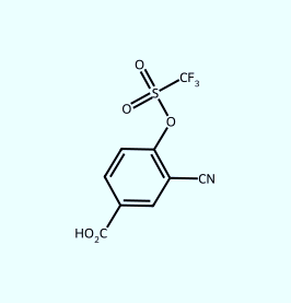 N#Cc1cc(C(=O)O)ccc1OS(=O)(=O)C(F)(F)F